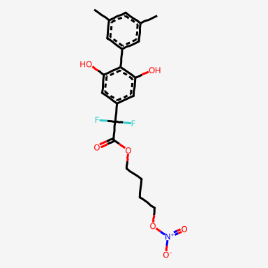 Cc1cc(C)cc(-c2c(O)cc(C(F)(F)C(=O)OCCCCO[N+](=O)[O-])cc2O)c1